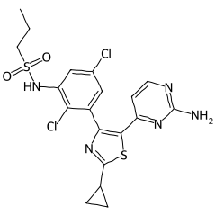 CCCS(=O)(=O)Nc1cc(Cl)cc(-c2nc(C3CC3)sc2-c2ccnc(N)n2)c1Cl